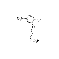 O=C(O)CCCOc1cc([N+](=O)[O-])ccc1Br